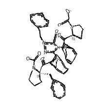 O=C([O-])N1CCC[C@H]1C(=O)[N+]1(n2c([N+]3(C(=O)[C@@]4(Cc5ccccc5)CCCN4C(=O)[O-])C4=CC=C3C=C4)nn(Cc3ccccc3)c2=O)C2=CC=C1C=C2